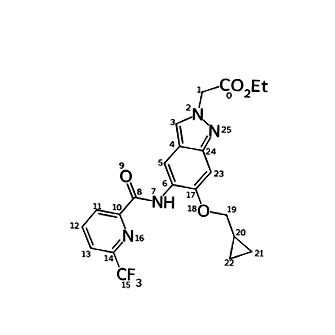 CCOC(=O)Cn1cc2cc(NC(=O)c3cccc(C(F)(F)F)n3)c(OCC3CC3)cc2n1